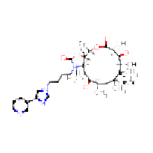 CC[C@H]1OC(=O)[C@H](C)C(=O)[C@H](C)C(C)(C)[C@](C)(OC)C[C@@H](C)C(=O)[C@H](C)[C@H]2N(CCCCn3cnc(-c4cccnc4)c3)C(=O)O[C@]12C